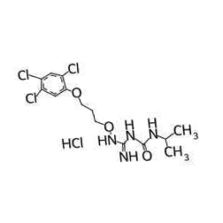 CC(C)NC(=O)NC(=N)NOCCCOc1cc(Cl)c(Cl)cc1Cl.Cl